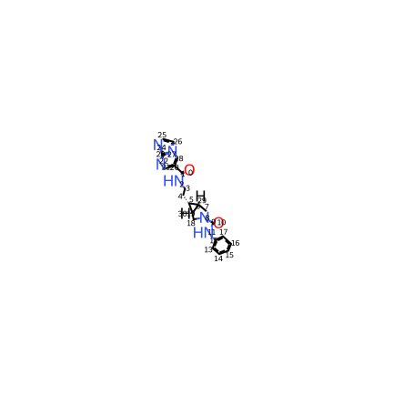 O=C(NCC[C@@H]1[C@H]2CN(C(=O)Nc3ccccc3)C[C@@H]12)c1cnc2nccn2c1